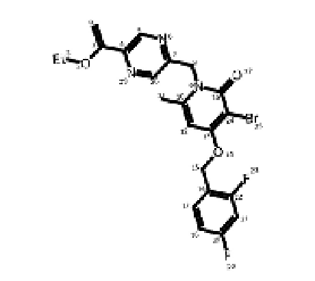 C=C(OCC)c1cnc(Cn2c(C)cc(OCc3ccc(F)cc3F)c(Br)c2=O)cn1